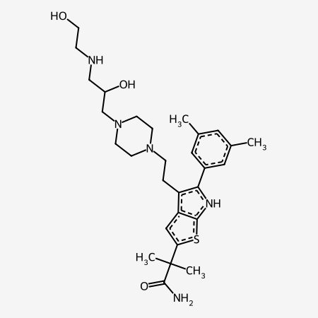 Cc1cc(C)cc(-c2[nH]c3sc(C(C)(C)C(N)=O)cc3c2CCN2CCN(CC(O)CNCCO)CC2)c1